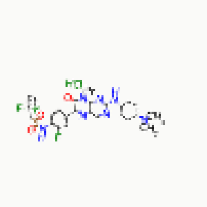 CCC(F)(F)CS(=O)(=O)Nc1ccc(-c2nc3cnc(N[C@H]4CC[C@H](N(C)C)CC4)nc3n(C(C)C)c2=O)cc1F.Cl